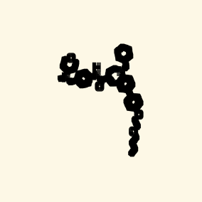 CCCCOCCOc1ccc(-c2ccc3c(c2)C=C(C(=O)Nc2ccc(CN(C)C4CCOCC4)cc2)CCN3CC2CCCCC2)cc1